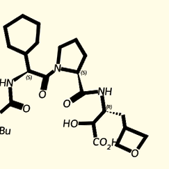 CC(C)(C)OC(=O)N[C@H](C(=O)N1CCC[C@H]1C(=O)N[C@H](CC1COC1)C(O)C(=O)O)C1CCCCC1